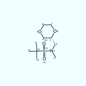 CN(C[C@@H]1COCCO1)S(=O)(=O)C(C)(C)C